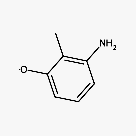 Cc1c(N)cccc1[O]